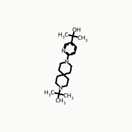 CC(C)(O)c1ccc(N2CCC3(CC2)CCN(C(C)(C)C)CC3)nc1